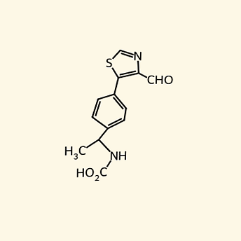 CC(NC(=O)O)c1ccc(-c2scnc2C=O)cc1